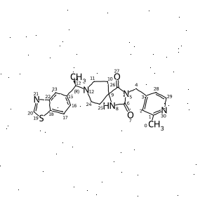 Cc1cc(CN2C(=O)NC3(CCN([C@H](C)c4ccc5scnc5c4)CC3)C2=O)ccn1